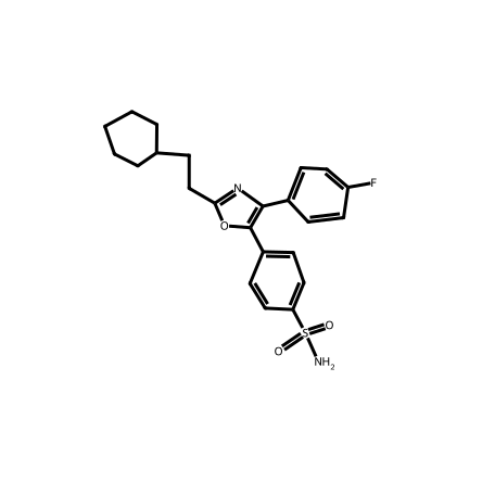 NS(=O)(=O)c1ccc(-c2oc(CCC3CCCCC3)nc2-c2ccc(F)cc2)cc1